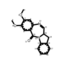 COc1cc2c(cc1OC)C(=O)N1c3ccccc3CC1C=N2